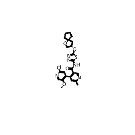 COc1cnc(Cl)cc1-c1cc(C)ncc1C(=O)Nc1nnc(O[C@@H]2COC3(CCCC3)C2)s1